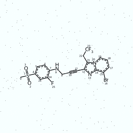 CS(=O)(=O)c1ccc(NCC#Cc2nc3c(Br)cccn3c2CC(F)(F)F)c(F)c1